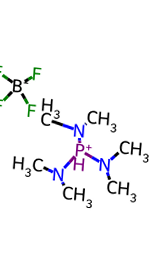 CN(C)[PH+](N(C)C)N(C)C.F[B-](F)(F)F